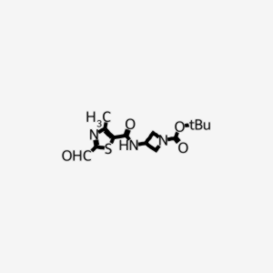 Cc1nc(C=O)sc1C(=O)NC1CN(C(=O)OC(C)(C)C)C1